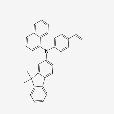 C=Cc1ccc(N(c2ccc3c(c2)C(C)(C)c2ccccc2-3)c2cccc3ccccc23)cc1